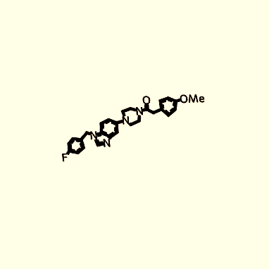 COc1ccc(CC(=O)N2CCN(c3ccc4c(c3)ncn4Cc3ccc(F)cc3)CC2)cc1